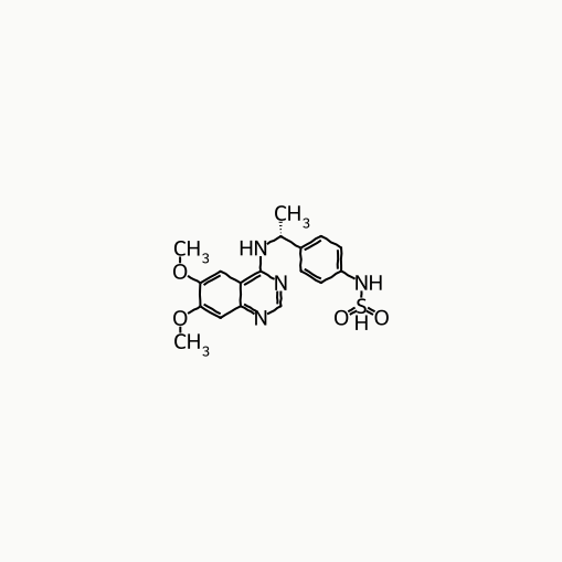 COc1cc2ncnc(N[C@H](C)c3ccc(N[SH](=O)=O)cc3)c2cc1OC